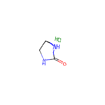 Cl.O=C1NCCN1